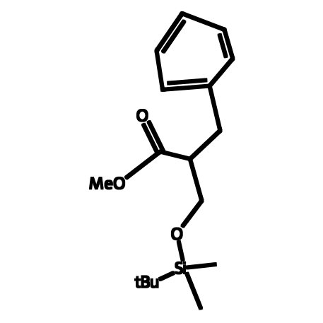 COC(=O)C(CO[Si](C)(C)C(C)(C)C)Cc1ccccc1